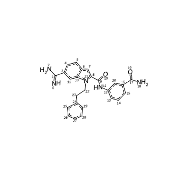 N=C(N)c1ccc2cc(C(=O)Nc3cccc(C(N)=O)c3)n(CCc3ccccc3)c2c1